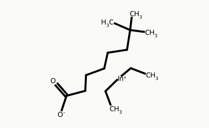 CC(C)(C)CCCCCC(=O)[O-].C[CH2][In+][CH2]C